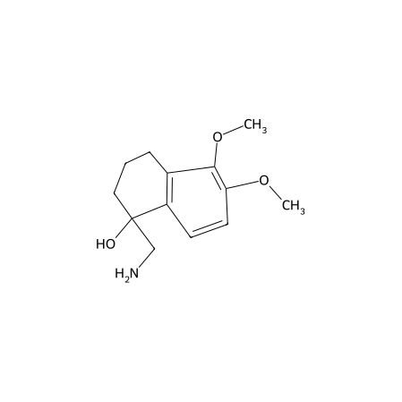 COc1ccc2c(c1OC)CCCC2(O)CN